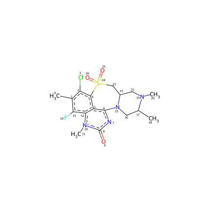 Cc1c(Cl)c2c3c(nc(=O)n(C)c3c1F)N1CC(C)N(C)CC1CS2(=O)=O